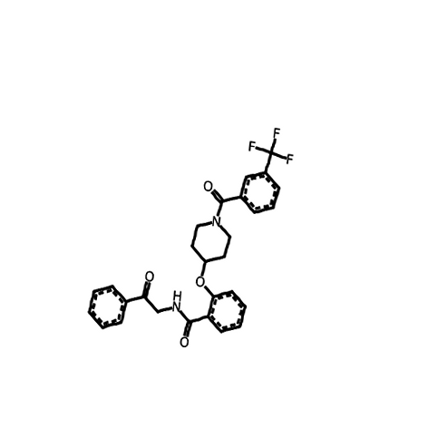 O=C(CNC(=O)c1ccccc1OC1CCN(C(=O)c2cccc(C(F)(F)F)c2)CC1)c1ccccc1